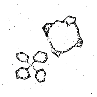 C1=Cc2cc3ccc(cc4nc(cc5ccc(cc1n2)[nH]5)C=C4)[nH]3.c1cc[c]([Co]([c]2ccccc2)([c]2ccccc2)[c]2ccccc2)cc1